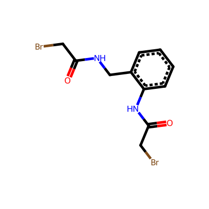 O=C(CBr)NCc1ccccc1NC(=O)CBr